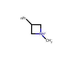 [CH2-][NH+]1CC(CCC)C1